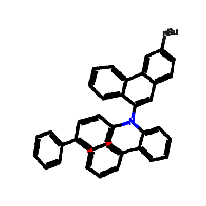 CCCCc1ccc2cc(N(c3ccc(-c4ccccc4)cc3)c3ccccc3-c3ccccc3)c3ccccc3c2c1